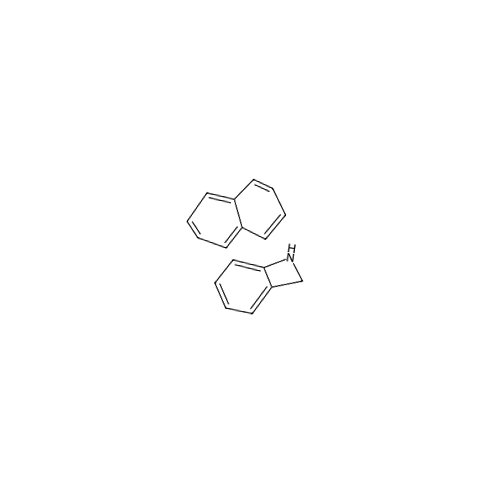 c1ccc2c(c1)CN2.c1ccc2ccccc2c1